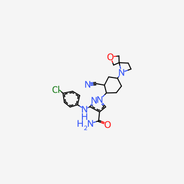 N#CC1CC(N2CCC23COC3)CCC1n1cc(C(N)=O)c(Nc2ccc(Cl)cc2)n1